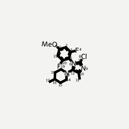 COc1cc(F)c(-n2c(Cl)nc(C)c2N2CCC(C)CC2)c(F)c1